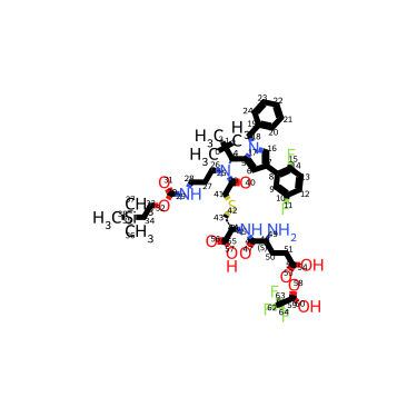 CC(C)(C)[C@H](c1cc(-c2cc(F)ccc2F)cn1Cc1ccccc1)N(CCCNC(=O)OCC[Si](C)(C)C)C(=O)CSC[C@H](NC(=O)[C@@H](N)CCC(=O)O)C(=O)O.O=C(O)C(F)(F)F